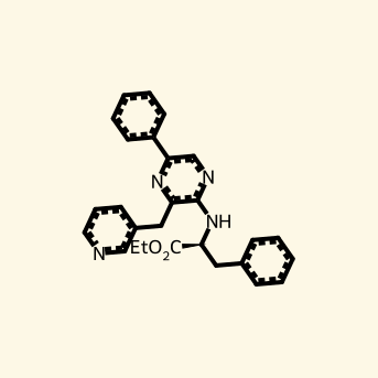 CCOC(=O)[C@H](Cc1ccccc1)Nc1ncc(-c2ccccc2)nc1Cc1cccnc1